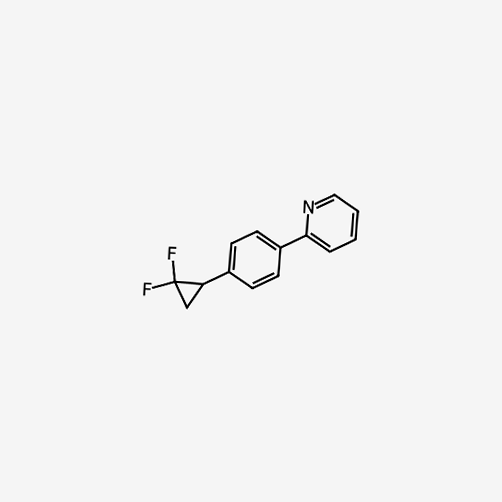 FC1(F)CC1c1ccc(-c2ccccn2)cc1